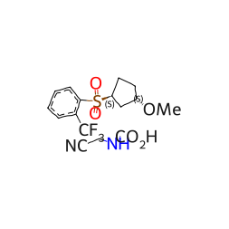 CO[C@H]1CC[C@H](S(=O)(=O)c2ccccc2C(F)(F)F)C1.N#CCNC(=O)O